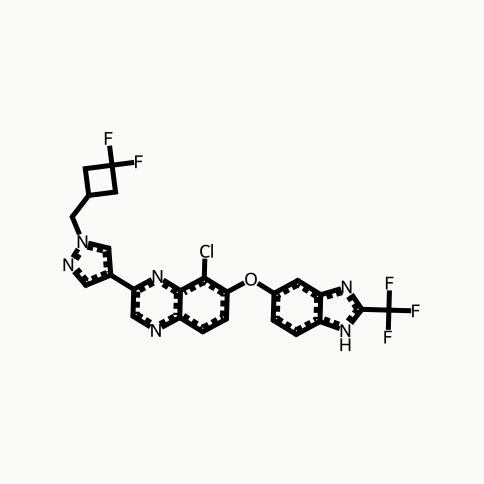 FC1(F)CC(Cn2cc(-c3cnc4ccc(Oc5ccc6[nH]c(C(F)(F)F)nc6c5)c(Cl)c4n3)cn2)C1